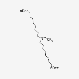 CCCCCCCCCCCCCCCCCCN(CCCCCCCCCCCCCCCCCC)CC(F)(F)F